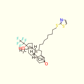 C[C@]12CCC(=O)C=C1CC(CCCCCCCCSc1nccs1)[C@@H]1[C@H]2CC[C@@]2(C)[C@H]1CCC2(O)C(F)(F)C(F)(F)F